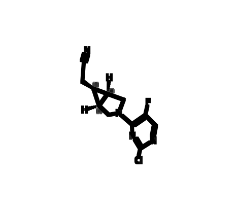 N#CC[C@H]1[C@H]2CN(c3nc(Cl)ncc3F)C[C@@H]12